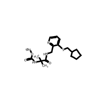 CC(C)(C)OC(=O)NC(C)(C)C(=O)NCc1ncccc1SCC1CCCC1